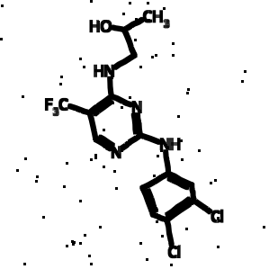 CC(O)CNc1nc(Nc2ccc(Cl)c(Cl)c2)ncc1C(F)(F)F